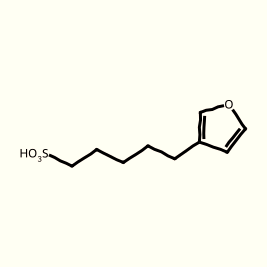 O=S(=O)(O)CCCCCc1ccoc1